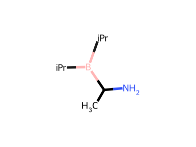 CC(C)B(C(C)C)C(C)N